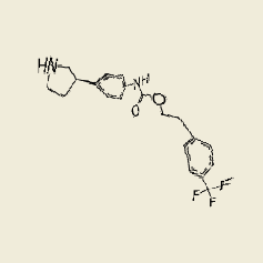 O=C(Nc1ccc([C@H]2CCNC2)cc1)OCCc1ccc(C(F)(F)F)cc1